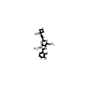 Cn1c(-c2cccc(F)c2F)nc2c(N)nc(C#CC3(O)CCC3)nc21